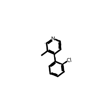 Cc1[c]nccc1-c1ccccc1Cl